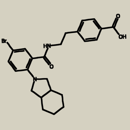 O=C(O)c1ccc(CCNC(=O)c2cc(Br)ccc2N2CC3CCCCC3C2)cc1